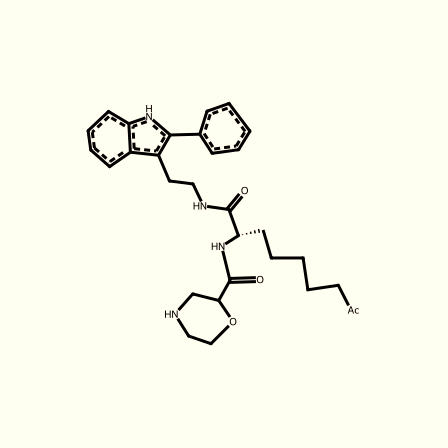 CC(=O)CCCCC[C@H](NC(=O)C1CNCCO1)C(=O)NCCc1c(-c2ccccc2)[nH]c2ccccc12